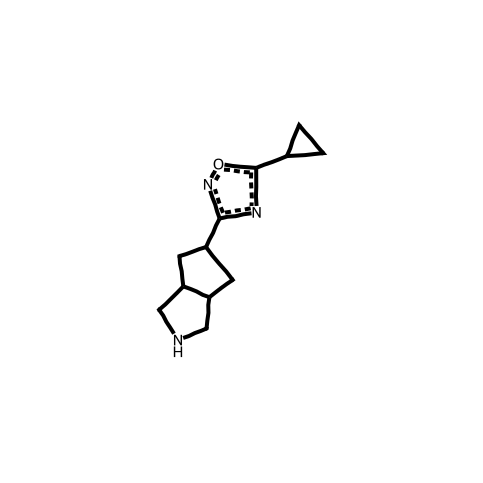 C1CC1c1nc(C2CC3CNCC3C2)no1